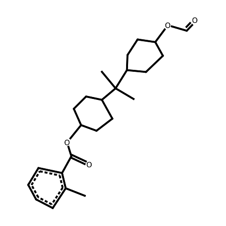 Cc1ccccc1C(=O)OC1CCC(C(C)(C)C2CCC(OC=O)CC2)CC1